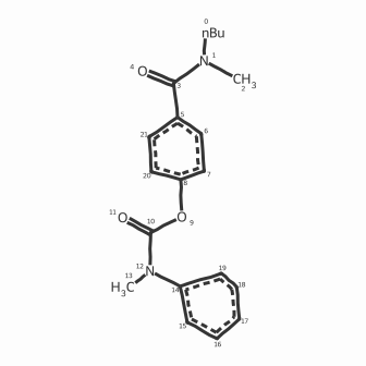 CCCCN(C)C(=O)c1ccc(OC(=O)N(C)c2ccccc2)cc1